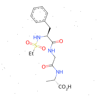 CCS(=O)(=O)N[C@@H](Cc1ccccc1)C(=O)NCC(=O)N[C@@H](C)C(=O)O